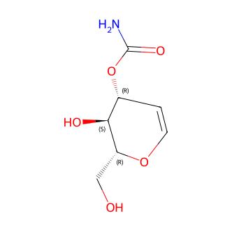 NC(=O)O[C@@H]1C=CO[C@H](CO)[C@H]1O